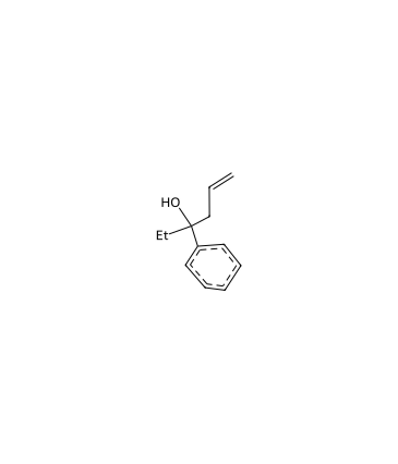 C=CCC(O)(CC)c1ccccc1